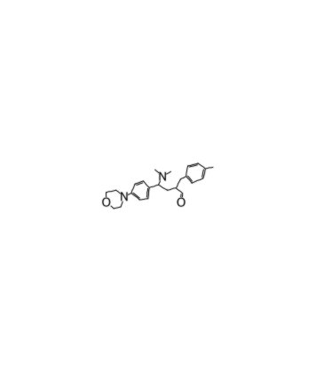 Cc1ccc(CC(C=O)CC(c2ccc(N3CCOCC3)cc2)N(C)C)cc1